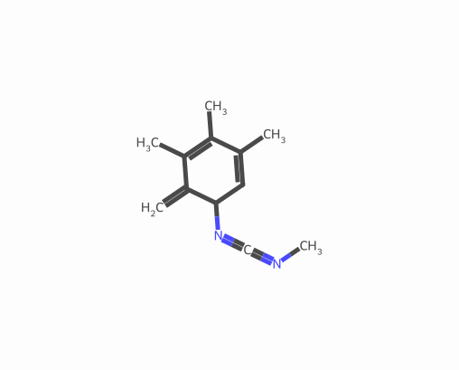 C=C1C(C)=C(C)C(C)=CC1N=C=NC